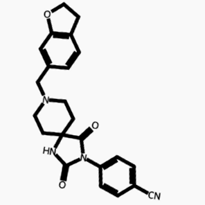 N#Cc1ccc(N2C(=O)NC3(CCN(Cc4ccc5c(c4)OCC5)CC3)C2=O)cc1